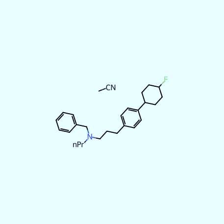 CC#N.CCCN(CCCc1ccc(C2CCC(F)CC2)cc1)Cc1ccccc1